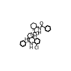 O=C(N[C@@H]1CCCC[C@@H]1C(=O)N1CC[C@H]2[C@@H](c3ccccc3)Nc3c(Cl)cccc3[C@H]21)c1ccccc1